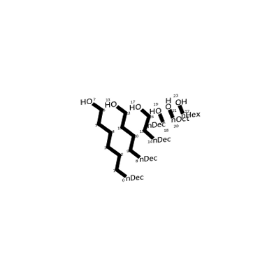 CCCCCCCCCCCCCCCCO.CCCCCCCCCCCCCCO.CCCCCCCCCCCCO.CCCCCCCCCCO.CCCCCCCCO.CCCCCCO